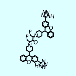 O=C(C(CF)N1CCC(C2c3ccccc3Oc3cc(-c4nnn[nH]4)ccc32)CC1)C(CF)N1CCC(C2c3ccccc3Oc3cc(-c4nnn[nH]4)ccc32)CC1